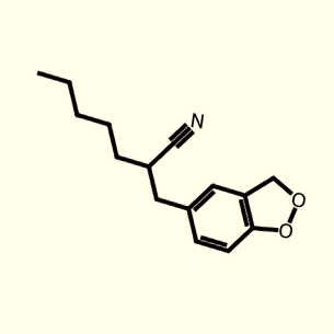 CCCCCC(C#N)Cc1ccc2c(c1)COO2